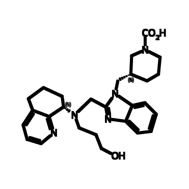 O=C(O)N1CCC[C@H](Cn2c(CN(CCCO)[C@H]3CCCc4cccnc43)nc3ccccc32)C1